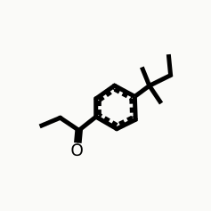 CCC(=O)c1ccc(C(C)(C)CC)cc1